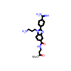 COC(=O)CCNC(=O)c1ccc2c(c1)nc(-c1ccc(C(=N)N)cc1)n2CCCN